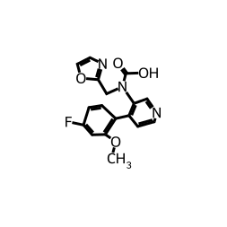 COc1cc(F)ccc1-c1ccncc1N(Cc1ncco1)C(=O)O